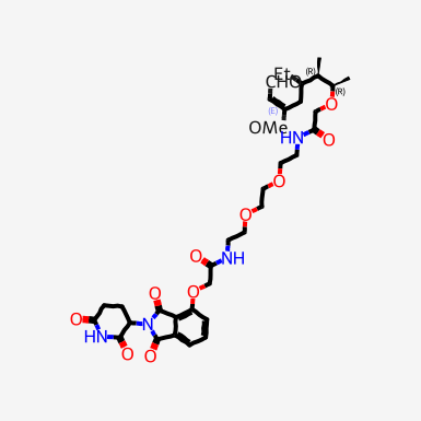 CCC(C/C(=C\C=O)OC)[C@@H](C)[C@@H](C)OCC(=O)NCCOCCOCCNC(=O)COc1cccc2c1C(=O)N(C1CCC(=O)NC1=O)C2=O